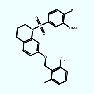 COc1cc(S(=O)(=O)N2CCCc3ccc(OCc4c(F)cccc4C(F)(F)F)cc32)ccc1F